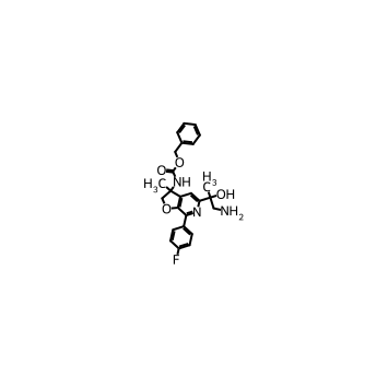 CC(O)(CN)c1cc2c(c(-c3ccc(F)cc3)n1)OCC2(C)NC(=O)OCc1ccccc1